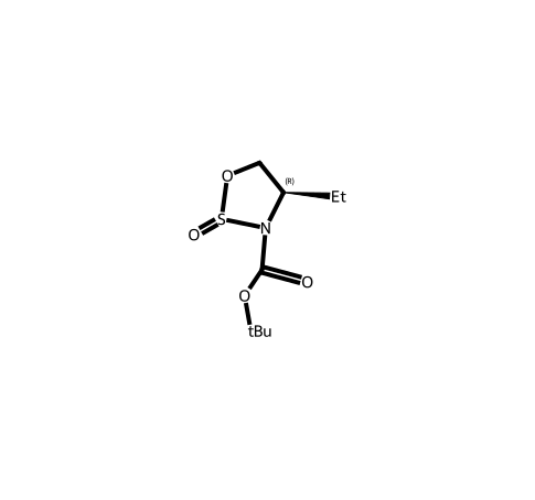 CC[C@@H]1COS(=O)N1C(=O)OC(C)(C)C